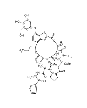 C=CCC1OC(=O)N(C)[C@@H](C(C)C)C(=O)NC(C(=O)N(C)[C@@H]([C@@H](C)CC)[C@@H](CC(=O)N2CCC[C@H]2[C@H](OC)[C@@H](C)C(=O)N[C@H](C)[C@@H](O)c2ccccc2)OC)[C@H](C)OC(=O)c2cc3c1ccc(O[C@H]1C[C@@H](O)[C@@H](O)[C@@H](CO)O1)c3s2